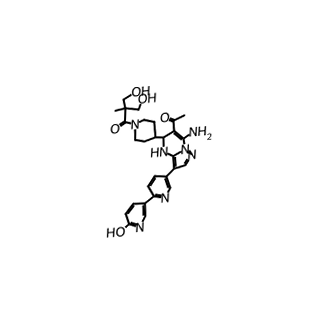 CC(=O)C1=C(N)n2ncc(-c3ccc(-c4ccc(O)nc4)nc3)c2NC1C1CCN(C(=O)C(C)(CO)CO)CC1